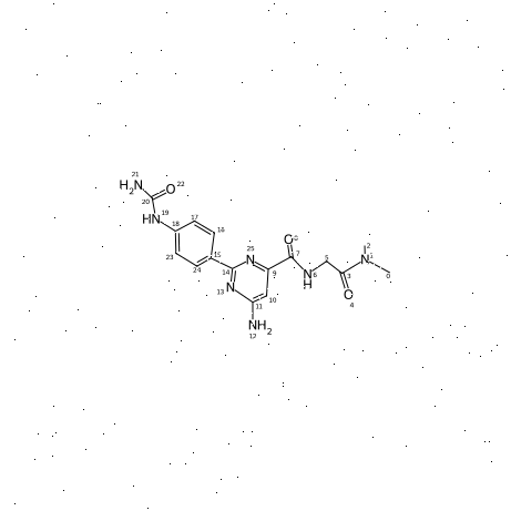 CN(C)C(=O)CNC(=O)c1cc(N)nc(-c2ccc(NC(N)=O)cc2)n1